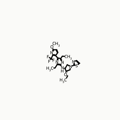 CCO[C@@H]1CN(c2nccs2)C[C@H]1Nc1nc(CC)c(-c2ccc(OC)nc2C(F)(F)F)nc1CC